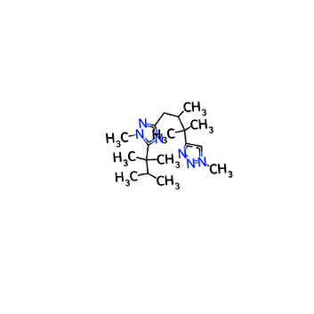 CC(C)C(C)(C)c1nc(CC(C)C(C)(C)c2cn(C)nn2)nn1C